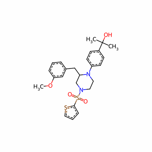 COc1cccc(CC2CN(S(=O)(=O)c3cccs3)CCN2c2ccc(C(C)(C)O)cc2)c1